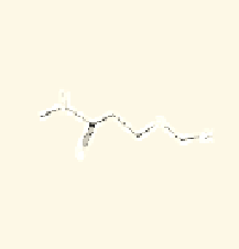 CNC(=O)CCOCS